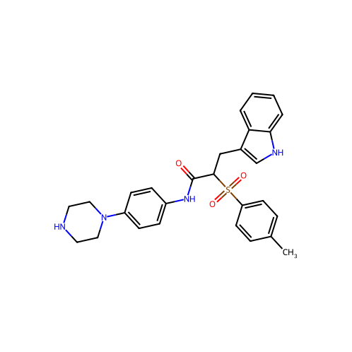 Cc1ccc(S(=O)(=O)C(Cc2c[nH]c3ccccc23)C(=O)Nc2ccc(N3CCNCC3)cc2)cc1